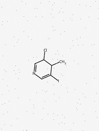 CC1C(I)=CN=CC1Cl